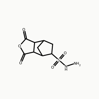 NNS(=O)(=O)C1CC2CC1C1C(=O)OC(=O)C21